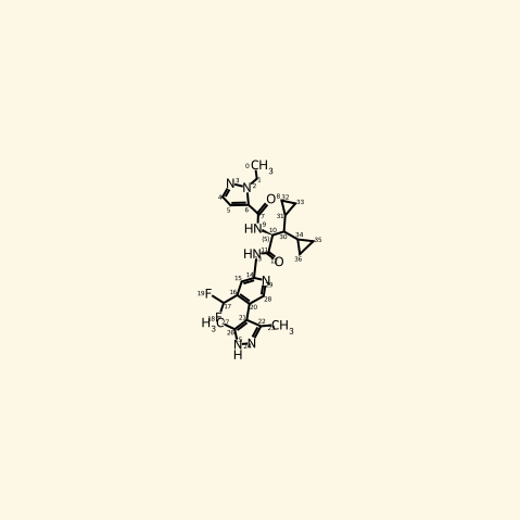 CCn1nccc1C(=O)N[C@H](C(=O)Nc1cc(C(F)F)c(-c2c(C)n[nH]c2C)cn1)C(C1CC1)C1CC1